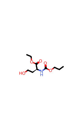 CCCOC(=O)N[C@@H](CCO)C(=O)OCC